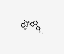 CC(NC(=O)c1ccc2c(-c3ccc(C(F)(F)F)cc3)cccc2c1)c1cccc(Br)n1